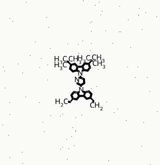 C=Cc1ccc2c(c1)c1cc(C=C)ccc1n2-c1ccc(-n2c3ccc(C(C)(C)C)cc3c3cc(C(C)(C)C)ccc32)nc1